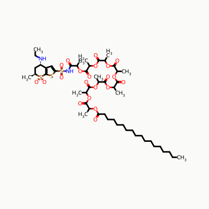 CCCCCCCCCCCCCCCCCC(=O)OC(C)C(=O)OC(C)C(=O)OC(C)C(=O)OC(C)C(=O)OC(C)C(=O)OC(C)C(=O)OC(C)C(=O)OC(C)C(=O)NS(=O)(=O)c1cc2c(s1)S(=O)(=O)[C@@H](C)C[C@@H]2NCC